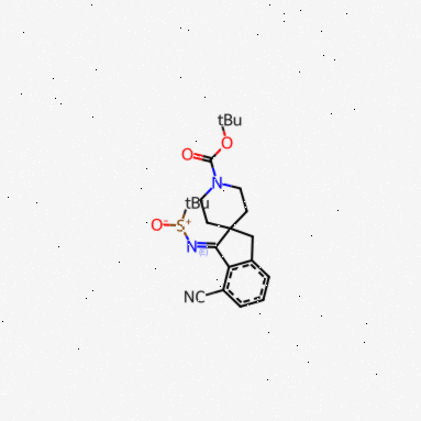 CC(C)(C)OC(=O)N1CCC2(CC1)Cc1cccc(C#N)c1/C2=N/[S+]([O-])C(C)(C)C